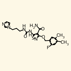 Cc1cc(F)c(COc2nsc(NC(=O)NCCCn3ccnc3)c2C(N)=O)cc1C